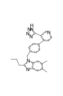 CCCc1nc2cc(C)c(C)cc2n1Cc1ccc(-c2ccncc2-c2nnn[nH]2)cc1